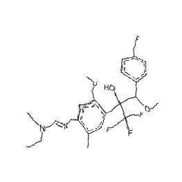 CCN(C)/C=N/c1cc(OC)c(C(O)(C(OC)c2ccc(F)cc2)C(F)(F)F)cc1C